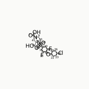 O=C(O)C1CN(C(=O)O)CCN1S(=O)(=O)c1cc(F)c(Oc2ccc(Cl)cc2)c(F)c1